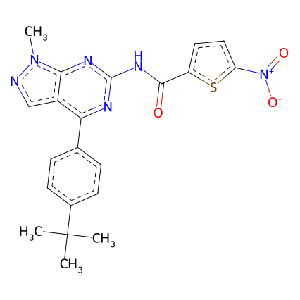 Cn1ncc2c(-c3ccc(C(C)(C)C)cc3)nc(NC(=O)c3ccc([N+](=O)[O-])s3)nc21